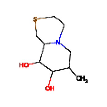 CC1CN2CCSCC2C(O)C1O